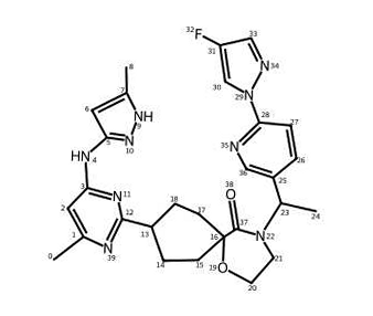 Cc1cc(Nc2cc(C)[nH]n2)nc(C2CCC3(CC2)OCCN(C(C)c2ccc(-n4cc(F)cn4)nc2)C3=O)n1